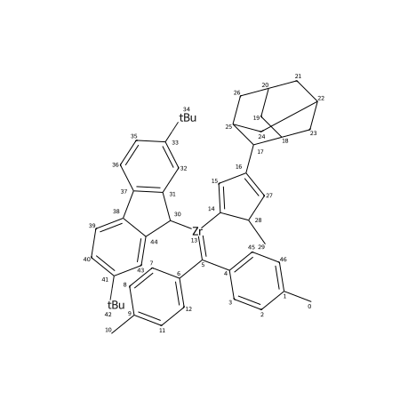 Cc1ccc([C](c2ccc(C)cc2)=[Zr]([C]2=CC(C3C4CC5CC(C4)CC3C5)=CC2C)[CH]2c3cc(C(C)(C)C)ccc3-c3ccc(C(C)(C)C)cc32)cc1